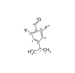 CC(C)c1cc(F)c(C=O)c(F)c1